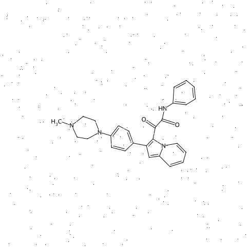 CN1CCN(c2ccc(-c3cc4ccccn4c3C(=O)C(=O)Nc3ccccc3)cc2)CC1